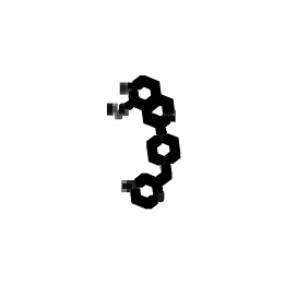 C[C@H]1NCCc2cnc(N3CCN(CC4CNCCO4)CC3)cc21